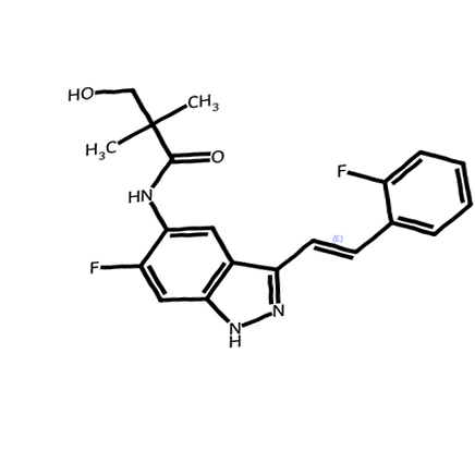 CC(C)(CO)C(=O)Nc1cc2c(/C=C/c3ccccc3F)n[nH]c2cc1F